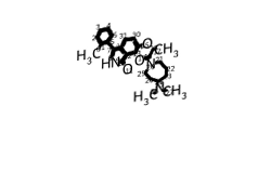 Cc1ccccc1-c1c[nH]c(=O)c2cc(O[C@H](C)C(=O)N3CCC[C@@H](N(C)C)CC3)ccc12